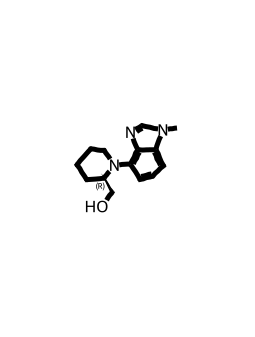 Cn1cnc2c(N3CCCC[C@@H]3CO)cccc21